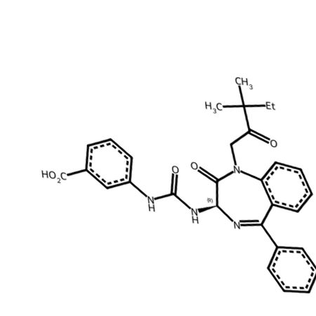 CCC(C)(C)C(=O)CN1C(=O)[C@H](NC(=O)Nc2cccc(C(=O)O)c2)N=C(c2ccccc2)c2ccccc21